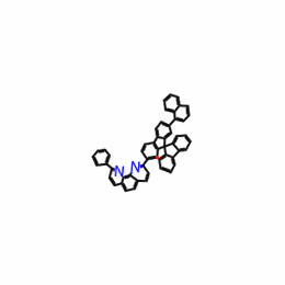 c1ccc(-c2ccc3ccc4ccc(-c5ccc6c(c5)C5(c7ccccc7-c7ccccc75)c5cc(-c7cccc8ccccc78)ccc5-6)nc4c3n2)cc1